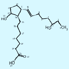 CCC(O)CCC/C=C/[C@H]1CCC(O)[C@@H]1CCCCCCC(=O)O